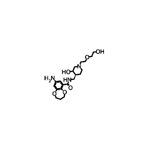 Nc1cc2c(c(C(=O)NC[C@@H]3CCN(CCOCCO)CC3O)c1)OCCCO2